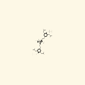 CC(C)Cc1cc(CCC(=O)NN(C)C(=O)CCc2cc(CC(C)C)c(O)c(CC(C)C)c2)cc(CC(C)C)c1O